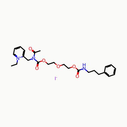 CC[n+]1ccccc1CN(C(C)=O)C(=O)OCCOCCOC(=O)NCCCc1ccccc1.[I-]